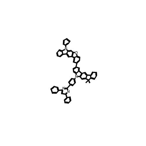 CC1(C)c2ccccc2-c2cc3c4cc(-c5ccc6oc7cc8c(cc7c6c5)c5ccccc5n8-c5ccccc5)ccc4n(-c4ccc(-c5nc(-c6ccccc6)cc(-c6ccccc6)n5)cc4)c3cc21